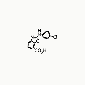 O=C(O)c1cccc2nc(Nc3ccc(Cl)cc3)oc12